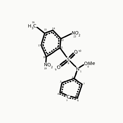 CON(c1ccccc1)S(=O)(=O)c1c([N+](=O)[O-])cc(C)cc1[N+](=O)[O-]